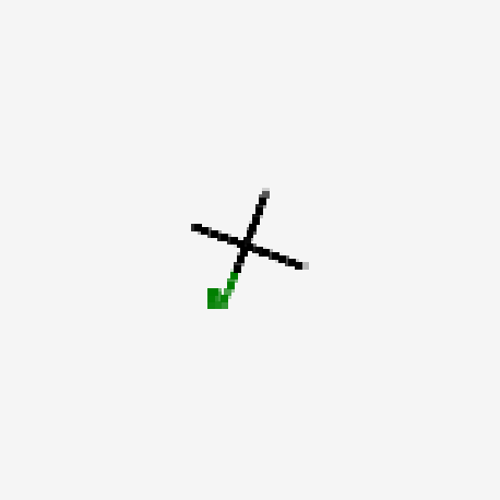 [CH2]C(C)(C)Br